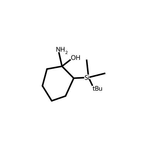 CC(C)(C)[Si](C)(C)C1CCCCC1(N)O